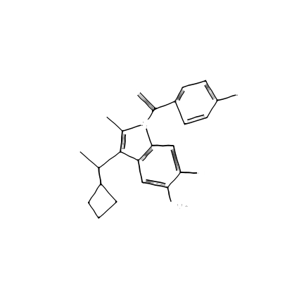 COc1cc2c(C(C(=O)O)C3CCC3)c(C)n(C(=O)c3ccc(F)cc3)c2cc1Cl